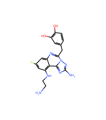 NCCNc1cc(F)cc2nc(Cc3ccc(O)c(O)c3)n3nc(N)nc3c12